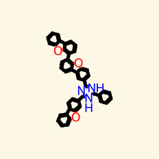 c1ccc(C2NC(c3ccc4oc5c(-c6cccc7c6oc6ccccc67)cccc5c4c3)=NC(c3ccc4c(c3)oc3ccccc34)N2)cc1